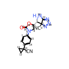 N#CC1(C[C@@H]2CN(c3ccc(C4(C#N)CC4)cc3)C(=O)O2)N=NN=C1N